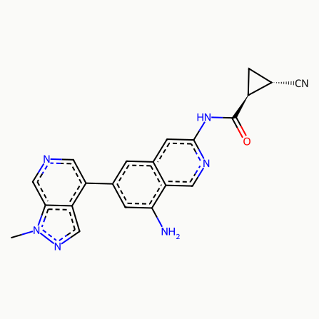 Cn1ncc2c(-c3cc(N)c4cnc(NC(=O)[C@H]5C[C@@H]5C#N)cc4c3)cncc21